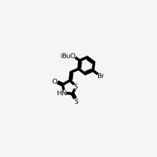 CC(C)COc1ccc(Br)cc1C=C1SC(=S)NC1=O